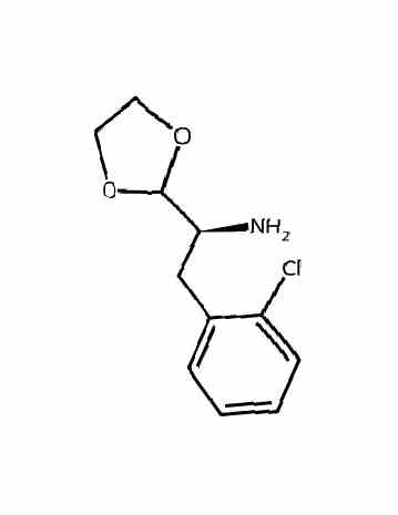 N[C@@H](Cc1ccccc1Cl)C1OCCO1